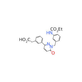 CCOC(=O)Nc1cccc(Cn2nc(-c3cccc(CC(=O)O)c3)ccc2=O)c1